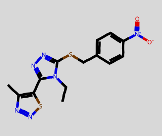 CCn1c(SCc2ccc([N+](=O)[O-])cc2)nnc1-c1snnc1C